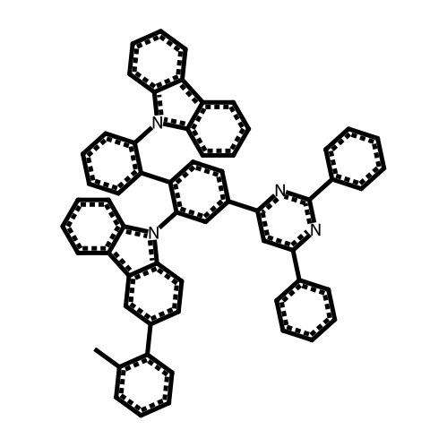 Cc1ccccc1-c1ccc2c(c1)c1ccccc1n2-c1cc(-c2cc(-c3ccccc3)nc(-c3ccccc3)n2)ccc1-c1ccccc1-n1c2ccccc2c2ccccc21